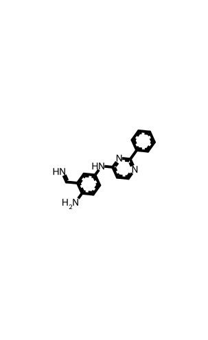 N=Cc1cc(Nc2ccnc(-c3ccccc3)n2)ccc1N